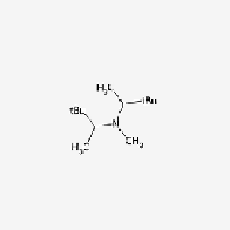 CC(N(C)C(C)C(C)(C)C)C(C)(C)C